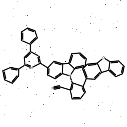 N#Cc1cccc(-c2ccc3oc4ccccc4c3c2)c1-n1c2ccccc2c2cc(-c3cc(-c4ccccc4)cc(-c4ccccc4)n3)ccc21